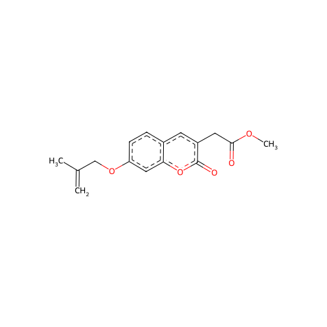 C=C(C)COc1ccc2cc(CC(=O)OC)c(=O)oc2c1